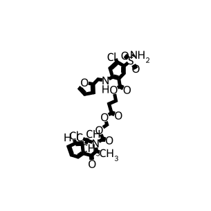 CC(C(=O)c1cccc(Cl)c1)N(C(=O)OCOC(=O)CCOC(=O)c1cc(S(N)(=O)=O)c(Cl)cc1NCc1ccco1)C(C)(C)C